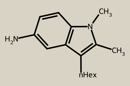 CCCCCCc1c(C)n(C)c2ccc(N)cc12